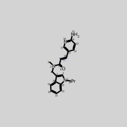 CC(C)n1cc(CN(C)C(=O)/C=C/c2ccc(N)nc2)c2ccccc21